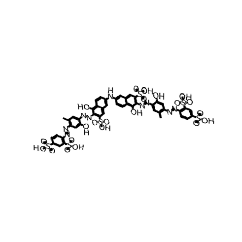 Cc1cc(N=Nc2c(S(=O)(=O)O)cc3cc(Nc4ccc5c(O)c(N=Nc6cc(C)c(N=Nc7ccc(S(=O)(=O)O)cc7S(=O)(=O)O)cc6O)c(S(=O)(=O)O)cc5c4)ccc3c2O)c(O)cc1N=Nc1ccc(S(=O)(=O)O)cc1S(=O)(=O)O